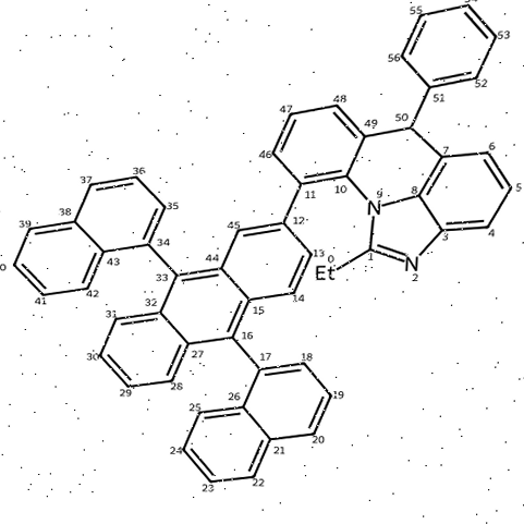 CCc1nc2cccc3c2n1-c1c(-c2ccc4c(-c5cccc6ccccc56)c5ccccc5c(-c5cccc6ccccc56)c4c2)cccc1C3c1ccccc1